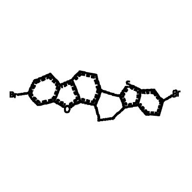 Brc1ccc2c(c1)oc1c3c(ccc12)-c1sc2cc(Br)ccc2c1CC3